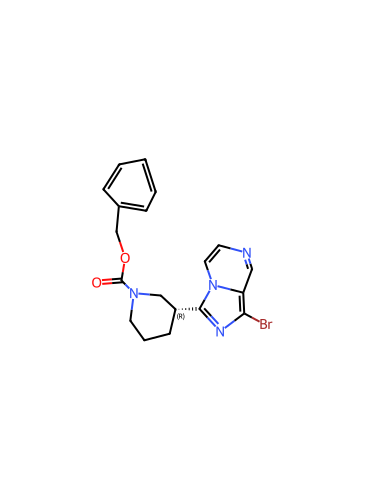 O=C(OCc1ccccc1)N1CCC[C@@H](c2nc(Br)c3cnccn23)C1